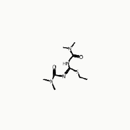 CCSC(=NC(=O)N(C)C)NC(=O)N(C)C